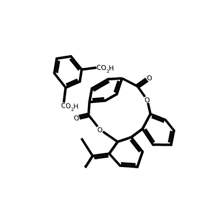 CC(C)=C1C=CC=C2c3ccccc3OC(=O)c3ccc(cc3)C(=O)OC21.O=C(O)c1cccc(C(=O)O)c1